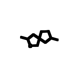 CC1CCC2(COC(C)C2)C1